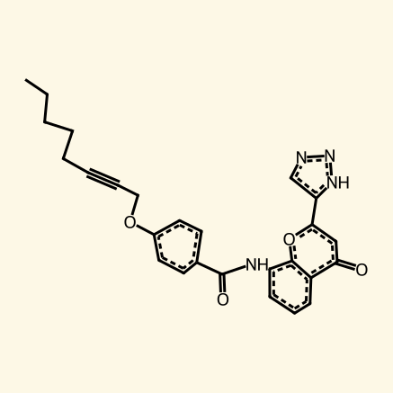 CCCCCC#CCOc1ccc(C(=O)Nc2cccc3c(=O)cc(-c4cnn[nH]4)oc23)cc1